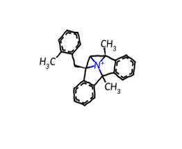 Cc1ccccc1C[C@@]12c3ccccc3C3(C)c4ccccc4[C@@]4(C)C1[N+]342